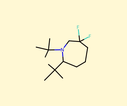 CC(C)(C)C1CCCC(F)(F)CN1C(C)(C)C